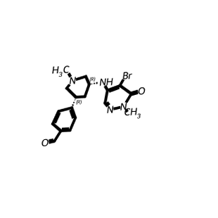 CN1C[C@H](Nc2cnn(C)c(=O)c2Br)C[C@H](c2ccc(C=O)cc2)C1